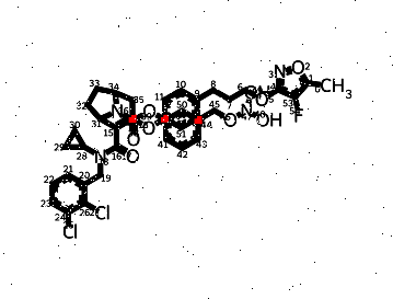 Cc1onc(OCCCc2ccc(OC3=C(C(=O)N(Cc4cccc(Cl)c4Cl)C4CC4)C4CCC(C3)N4C(=O)Oc3cccc(CON(O)O)c3)cc2)c1F